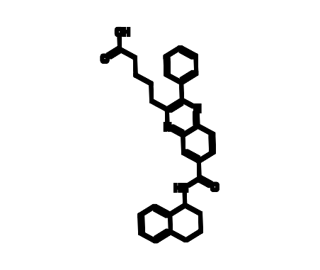 O=C(O)CCCCc1nc2cc(C(=O)NC3CCCc4ccccc43)ccc2nc1-c1ccccc1